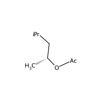 CC(=O)O[C@H](C)CC(C)C